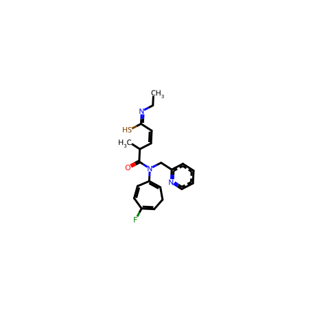 CC/N=C(S)\C=C/C(C)C(=O)N(Cc1ccccn1)C1=CCC=C(F)C=C1